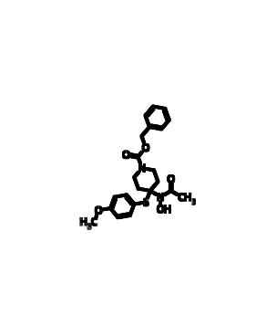 COc1ccc(SC2(N(O)C(C)=O)CCN(C(=O)OCc3ccccc3)CC2)cc1